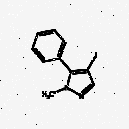 Cn1ncc(I)c1-c1ccccc1